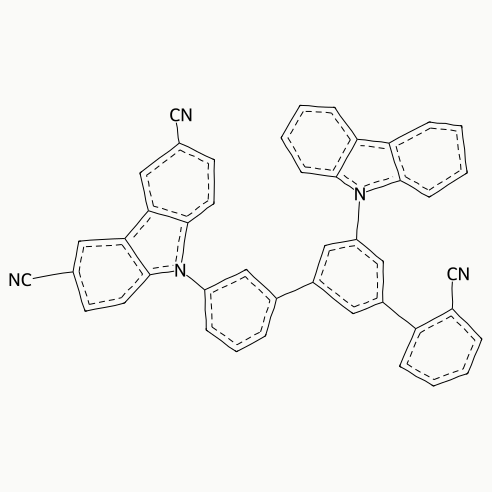 N#Cc1ccc2c(c1)c1cc(C#N)ccc1n2-c1cccc(-c2cc(-c3ccccc3C#N)cc(-n3c4ccccc4c4ccccc43)c2)c1